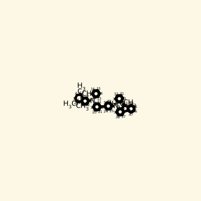 CC1(C)CCC(C)(C)c2cc(N(c3ccccc3)c3cccc(-c4ccc(N(c5ccccc5)c5cccc6c5C(C)(C)c5ccccc5-6)cc4)c3)ccc21